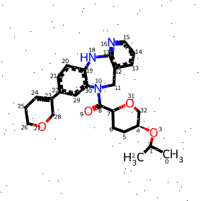 CC(C)O[C@H]1CCC(C(=O)N2Cc3cccnc3Nc3ccc(C4=CCCOC4)cc32)OC1